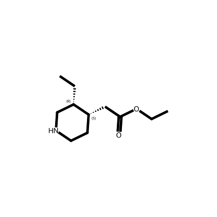 CCOC(=O)C[C@@H]1CCNC[C@@H]1CC